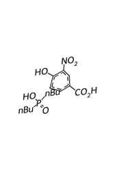 CCCCP(=O)(O)CCCC.O=C(O)c1ccc(O)c([N+](=O)[O-])c1